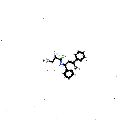 CCC(C)C(Cl)/N=C(\C=C(/C)c1ccccc1)c1ccccc1